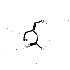 C=C(CC)O/C(=C\C)CC(C)(C)C